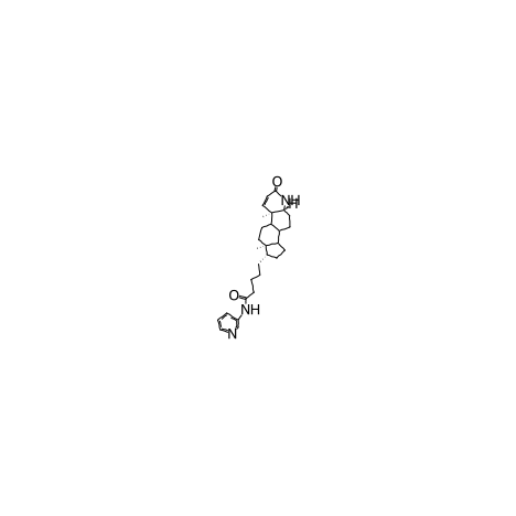 C[C@]12CCC3C(CC[C@H]4NC(=O)C=C[C@]34C)C1CC[C@@H]2CCCCC(=O)Nc1cccnc1